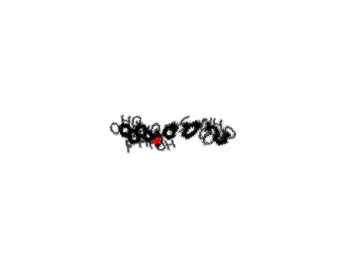 C[C@]12C=CC(=O)C=C1[C@@H](F)C[C@H]1[C@@H]3C[C@H]4O[C@@H](c5ccc(Sc6cccc(NC(=O)CN7C(=O)C=CC7=O)c6)cc5)O[C@@]4(C(=O)CO)[C@@]3(C)C[C@H](O)[C@@]12F